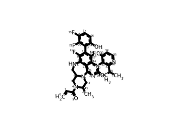 C=CC(=O)N1CC2CNc3c(F)c(-c4c(O)ccc(F)c4F)c(F)c4c3c(nc(=O)n4-c3c(C)ccnc3C(C)C)N2CC1C